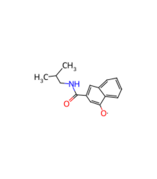 CC(C)CNC(=O)c1cc([O])c2ccccc2c1